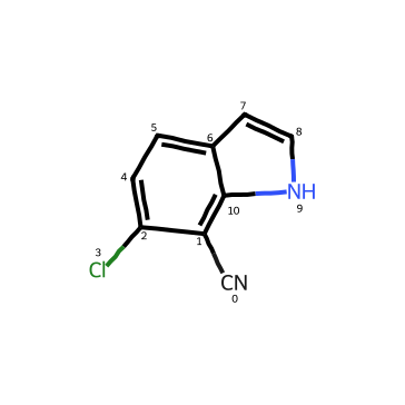 N#Cc1c(Cl)ccc2cc[nH]c12